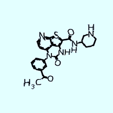 CC(=O)c1cccc(N2C(=O)Nc3c(C(=O)NC4CCCNC4)sc4nccc2c34)c1